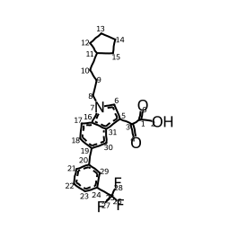 O=C(O)C(=O)c1cn(CCCC2CCCC2)c2ccc(-c3cccc(C(F)(F)F)c3)cc12